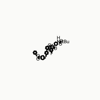 CC(C)(C)OC(=O)N[C@H]1CC[C@@H](N2C[N+]([O-])(c3cccc(-c4ccc(CN5CCCN(C(=O)OCc6ccccc6)CC5)cc4)c3)c3ncc(F)cc3C2=O)CC1